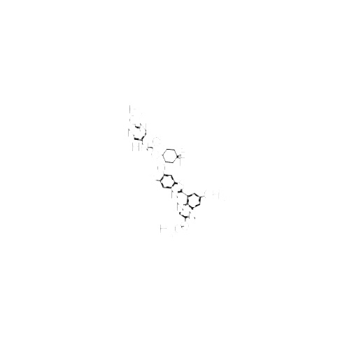 COc1cnc2c(-c3nc4cc(F)c(O[C@H]5CC(F)(F)CC[C@H]5OC(=O)Nc5cnc(C)nc5)cc4s3)cc(C)cc2n1